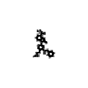 CNCCc1cnc(-n2c(C)cc3c(C(N)=O)cccc32)nc1NCc1ccccc1